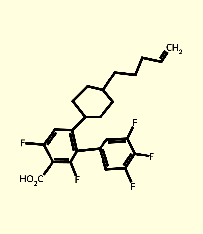 C=CCCCC1CCC(c2cc(F)c(C(=O)O)c(F)c2-c2cc(F)c(F)c(F)c2)CC1